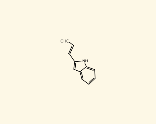 O=CC=Cc1cc2ccccc2[nH]1